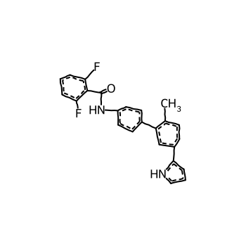 Cc1ccc(-c2ccc[nH]2)cc1-c1ccc(NC(=O)c2c(F)cccc2F)cc1